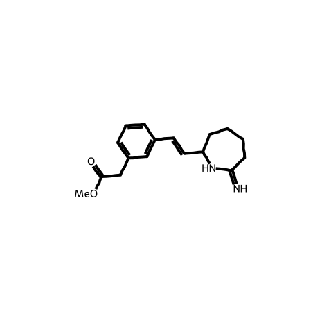 COC(=O)Cc1cccc(C=CC2CCCCC(=N)N2)c1